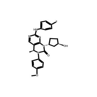 COc1ccc(N2C(=O)N([C@@H]3CC[C@@H](O)C3)c3nc(Nc4ccc(F)cc4)ncc3[C@@H]2C)cc1